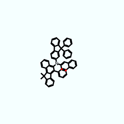 CC1(C)c2ccccc2-c2c(-c3ccccc3)c(N(c3ccc4c(c3)C(c3ccccc3)(c3ccccc3)c3ccccc3-4)c3ccc4ccccc4c3)c3ccccc3c21